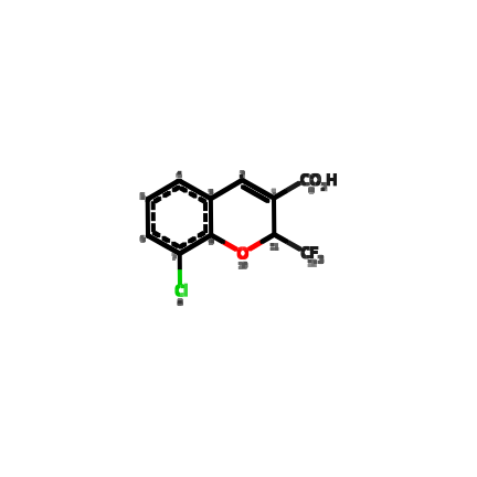 O=C(O)C1=Cc2cccc(Cl)c2OC1C(F)(F)F